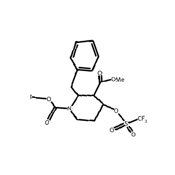 COC(=O)C1C(OS(=O)(=O)C(F)(F)F)CCN(C(=O)OI)C1Cc1ccccc1